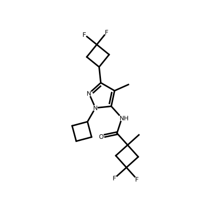 Cc1c(C2CC(F)(F)C2)nn(C2CCC2)c1NC(=O)C1(C)CC(F)(F)C1